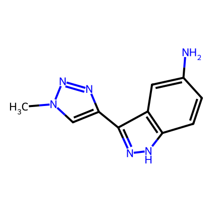 Cn1cc(-c2n[nH]c3ccc(N)cc23)nn1